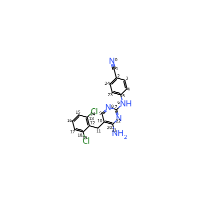 N#Cc1ccc(Nc2ncc(Cc3c(Cl)cccc3Cl)c(N)n2)cc1